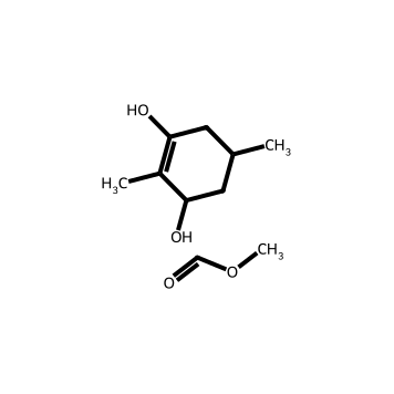 CC1=C(O)CC(C)CC1O.COC=O